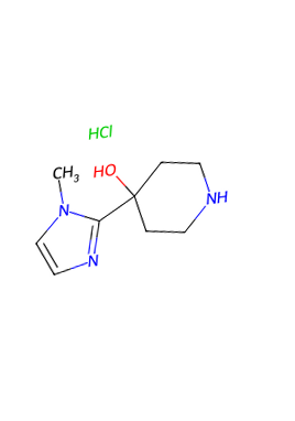 Cl.Cn1ccnc1C1(O)CCNCC1